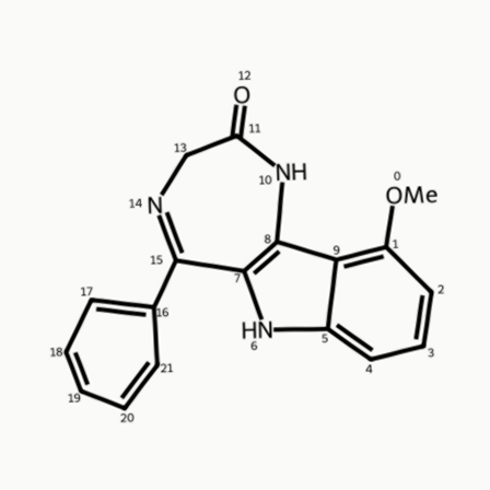 COc1cccc2[nH]c3c(c12)NC(=O)CN=C3c1ccccc1